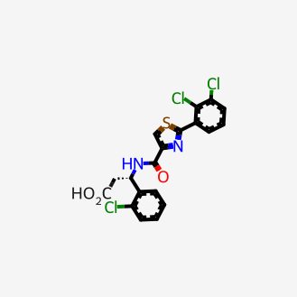 O=C(O)C[C@H](NC(=O)c1csc(-c2cccc(Cl)c2Cl)n1)c1ccccc1Cl